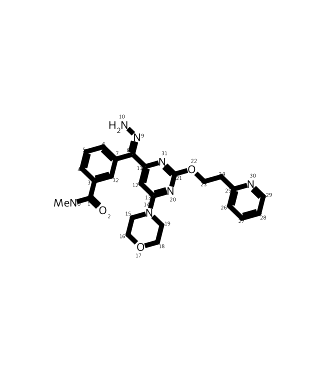 CNC(=O)c1cccc(/C(=N\N)c2cc(N3CCOCC3)nc(OCCc3ccccn3)n2)c1